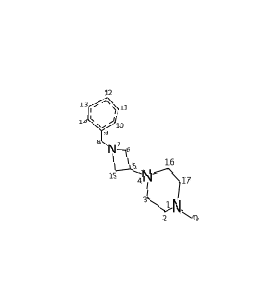 CN1CCN(C2CN(Cc3ccccc3)C2)CC1